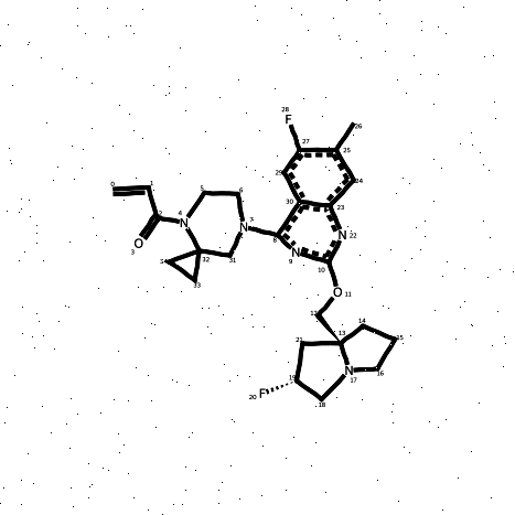 C=CC(=O)N1CCN(c2nc(OC[C@@]34CCCN3C[C@H](F)C4)nc3cc(C)c(F)cc23)CC12CC2